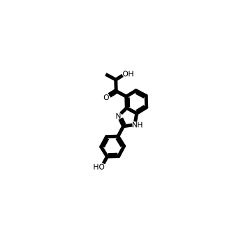 CC(O)C(=O)c1cccc2[nH]c(-c3ccc(O)cc3)nc12